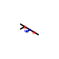 CCCCCCCCOC(=O)CCCCCCCN(CCCCCCCC(=O)OC(CCCCCCCC)CCCCCCCC)CCCNC(=S)N(C)C